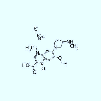 CCn1cc(C(=O)O)c(=O)c2cc(OCF)c(N3CCC(NC)C3)cc21.[B+3].[F-].[F-].[F-]